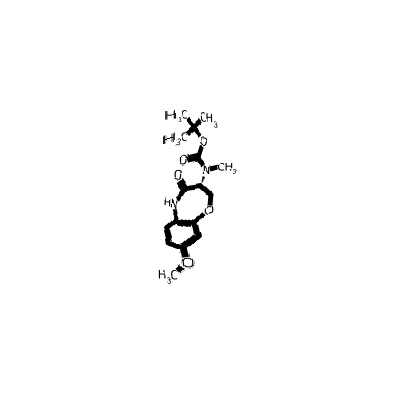 COc1ccc2c(c1)OC[C@@H](N(C)C(=O)OC(C)(C)C)C(=O)N2